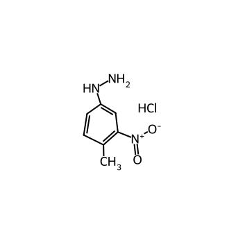 Cc1ccc(NN)cc1[N+](=O)[O-].Cl